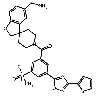 C[SH](C)(=O)c1cc(C(=O)N2CCC3(CC2)COc2ccc(CN)cc23)cc(-c2nc(-c3cccs3)no2)c1